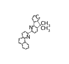 CC1(C)c2ccccc2-c2nc(-c3ccc4ccc5ccccc5c4n3)ccc21